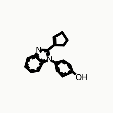 Oc1ccc(-n2c(C3=CCCC3)nc3ccccc32)cc1